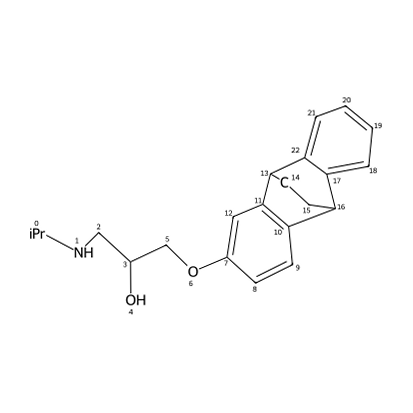 CC(C)NCC(O)COc1ccc2c(c1)C1CCC2c2ccccc21